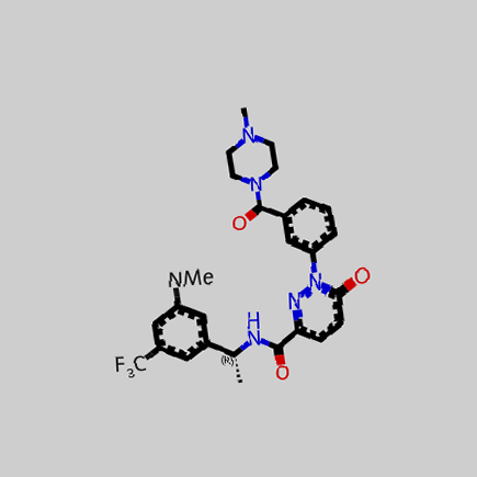 CNc1cc([C@@H](C)NC(=O)c2ccc(=O)n(-c3cccc(C(=O)N4CCN(C)CC4)c3)n2)cc(C(F)(F)F)c1